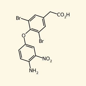 Nc1ccc(Oc2c(Br)cc(CC(=O)O)cc2Br)cc1[N+](=O)[O-]